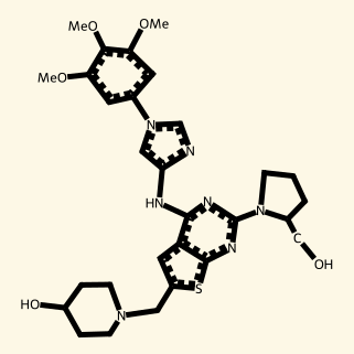 COc1cc(-n2cnc(Nc3nc(N4CCCC4CO)nc4sc(CN5CCC(O)CC5)cc34)c2)cc(OC)c1OC